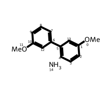 COc1cccc(-c2cccc(OC)c2)c1.N